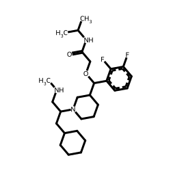 CNCC(CC1CCCCC1)N1CCCC(C(OCC(=O)NC(C)C)c2cccc(F)c2F)C1